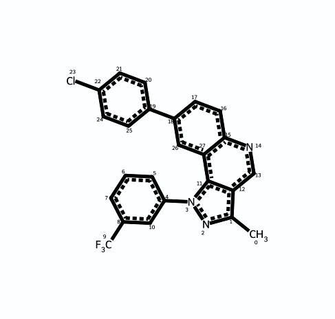 Cc1nn(-c2cc[c]c(C(F)(F)F)c2)c2c1cnc1ccc(-c3ccc(Cl)cc3)cc12